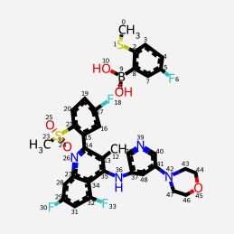 CSc1ccc(F)cc1B(O)O.Cc1c(-c2cc(F)ccc2S(C)(=O)=O)nc2cc(F)cc(F)c2c1Nc1cncc(N2CCOCC2)c1